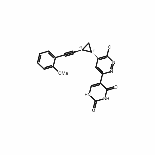 COc1ccccc1C#C[C@H]1C[C@@H]1c1cc(-c2c[nH]c(=O)[nH]c2=O)nnc1Cl